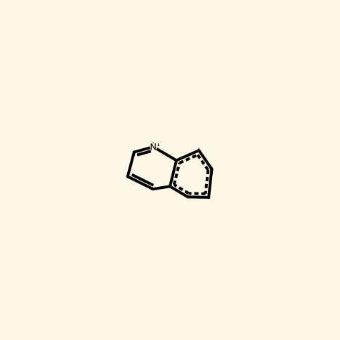 [c]1cccc2c1[N+]=CC=C2